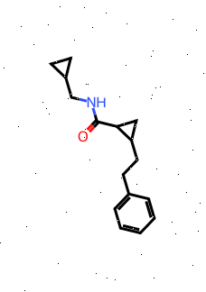 O=C(NCC1CC1)C1CC1CCc1ccccc1